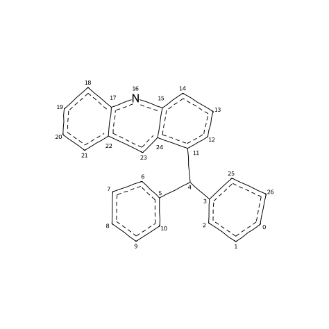 c1ccc(C(c2ccccc2)c2cccc3nc4ccccc4cc23)cc1